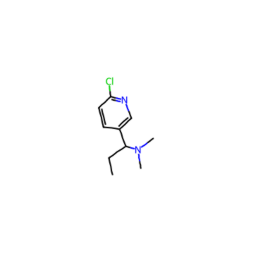 CCC(c1ccc(Cl)nc1)N(C)C